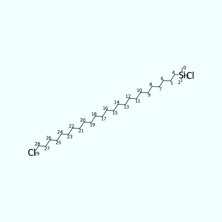 C[Si](C)(Cl)CCCCCCCCCCCCCCCCCCCCCCCCCCl